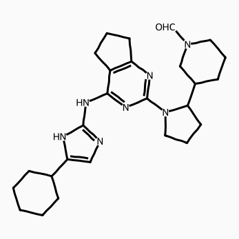 O=CN1CCCC(C2CCCN2c2nc3c(c(Nc4ncc(C5CCCCC5)[nH]4)n2)CCC3)C1